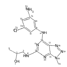 CC(O)CNc1nc(Nc2cc(N)cc(Cl)c2)c2nnn(C)c2n1